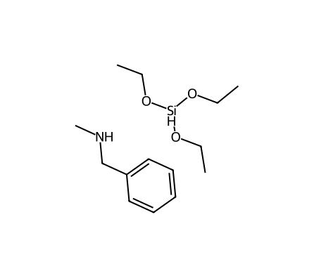 CCO[SiH](OCC)OCC.CNCc1ccccc1